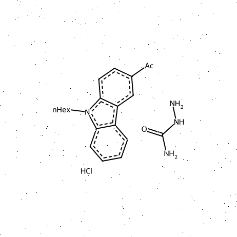 CCCCCCn1c2ccccc2c2cc(C(C)=O)ccc21.Cl.NNC(N)=O